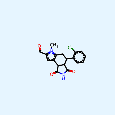 Cn1c(C=O)cc2c1CC(c1ccccc1Cl)C1C(=O)NC(=O)C21